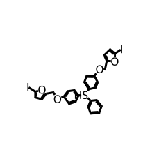 Ic1ccc(COc2ccc([SH](c3ccccc3)c3ccc(OCc4ccc(I)o4)cc3)cc2)o1